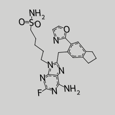 Nc1nc(F)nc2c1nc(Cc1cc3c(cc1-c1ncco1)CCC3)n2CCCCCS(N)(=O)=O